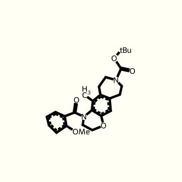 COc1ccccc1C(=O)N1CCOc2cc3c(c(C)c21)CCN(C(=O)OC(C)(C)C)CC3